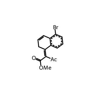 COC(=O)/C(C(C)=O)=C1\CC=Cc2c(Br)cccc21